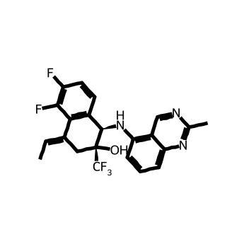 C/C=C1\C[C@](O)(C(F)(F)F)[C@H](Nc2cccc3nc(C)ncc23)c2ccc(F)c(F)c21